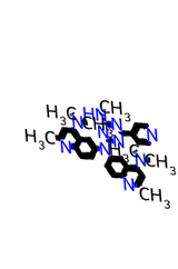 CNc1nc(-c2ccncc2)nc(N(c2ccc3nc(C)cc(N(C)C)c3c2)c2ccc3nc(C)cc(N(C)C)c3c2)n1